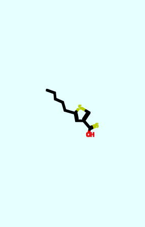 CCCCCc1cc(C(O)=S)cs1